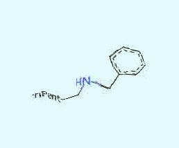 CCCC[CH]CNCc1ccccc1